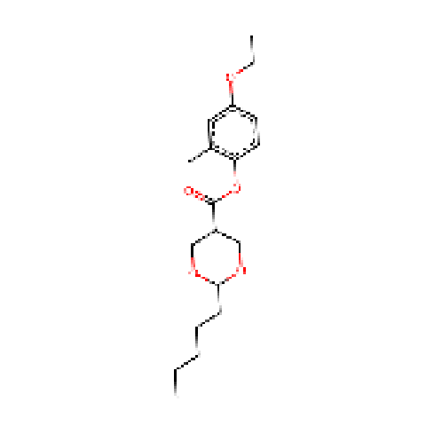 CCCCCC1OCC(C(=O)Oc2ccc(OCC)cc2C)CO1